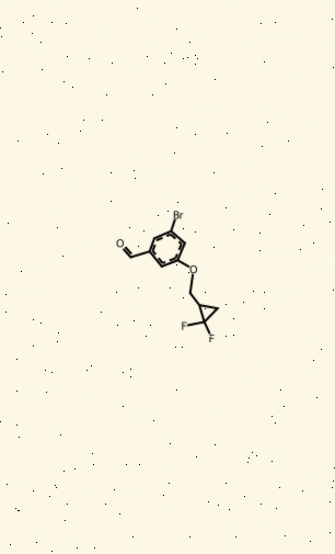 O=Cc1cc(Br)cc(OCC2CC2(F)F)c1